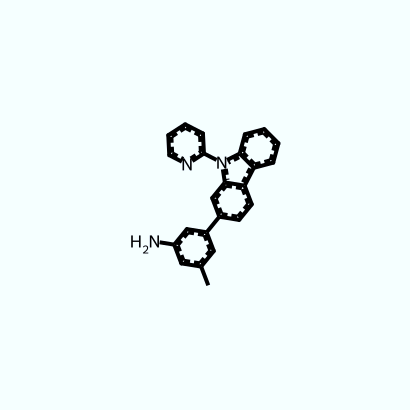 Cc1cc(N)cc(-c2ccc3c4ccccc4n(-c4ccccn4)c3c2)c1